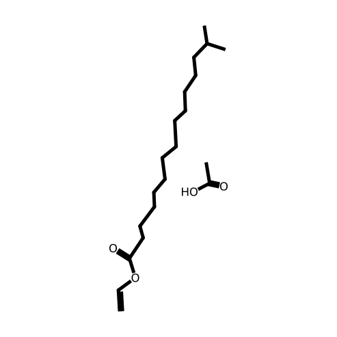 C=COC(=O)CCCCCCCCCCCCC(C)C.CC(=O)O